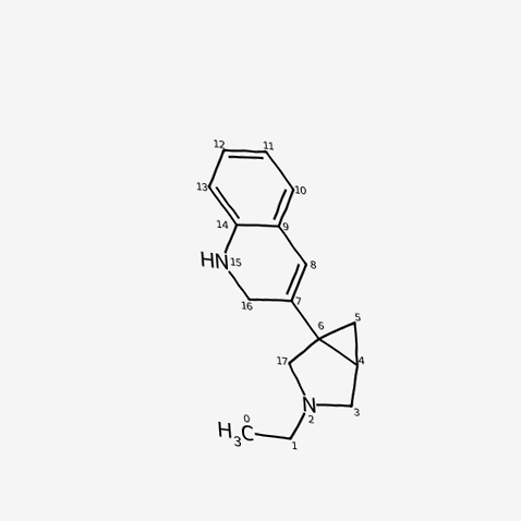 CCN1CC2CC2(C2=Cc3ccccc3NC2)C1